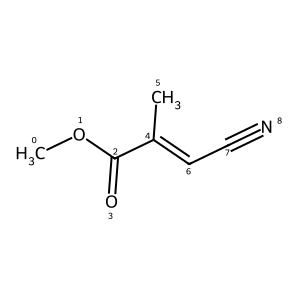 COC(=O)/C(C)=C/C#N